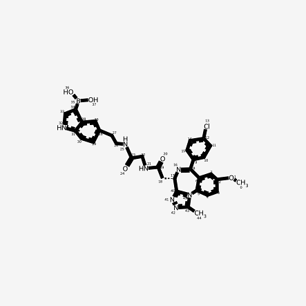 COc1ccc2c(c1)C(c1ccc(Cl)cc1)=N[C@@H](CC(=O)NCC(=O)NCCc1ccc3[nH]cc(B(O)O)c3c1)c1nnc(C)n1-2